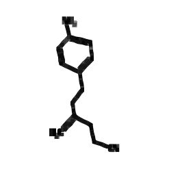 C=C(CCC#N)CCc1ccc(N)cc1